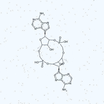 C[C@@]12OCP(=O)(O)OC3C(O)[C@@](C)(OCP(=O)(O)OC(C1O)[C@H](n1cnc4c(N)ncnc41)O2)O[C@H]3n1cnc2c(N)ncnc21